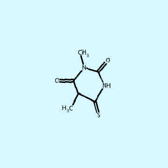 CC1C(=O)N(C)C(=O)NC1=S